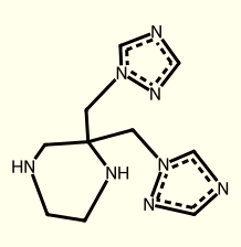 c1ncn(CC2(Cn3cncn3)CNCCN2)n1